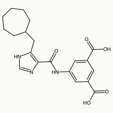 O=C(O)c1cc(NC(=O)c2nc[nH]c2CC2CCCCCC2)cc(C(=O)O)c1